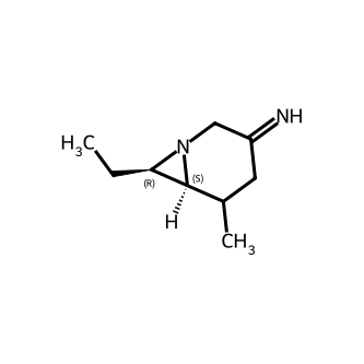 CC[C@@H]1[C@@H]2C(C)CC(=N)CN12